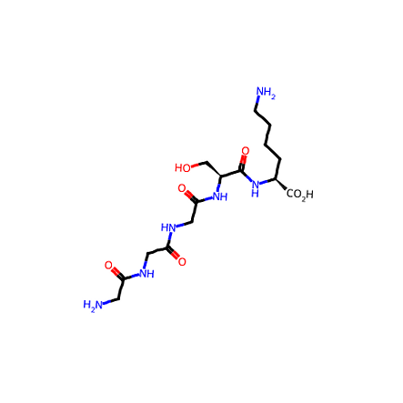 NCCCC[C@H](NC(=O)[C@H](CO)NC(=O)CNC(=O)CNC(=O)CN)C(=O)O